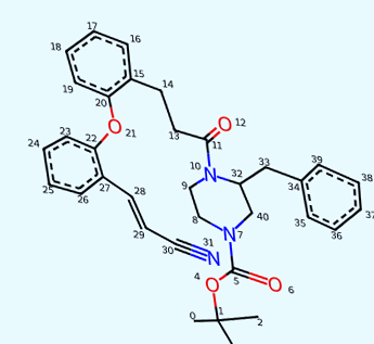 CC(C)(C)OC(=O)N1CCN(C(=O)CCc2ccccc2Oc2ccccc2C=CC#N)C(Cc2ccccc2)C1